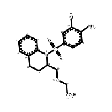 Nc1ccc(S(=O)(=O)N2c3ccccc3CCC2COCC(=O)O)cc1Cl